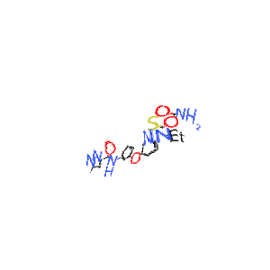 CCN(C(=S)OC(N)=O)c1ccc(Oc2cccc(NC(=O)c3cc(C)nn3C)c2)cn1